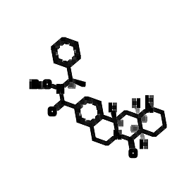 CC(C)CON(C(=O)c1ccc2c(c1)CCN1C(=O)[C@@H]3CCCN[C@@H]3C[C@@H]21)[C@H](C)c1ccccc1